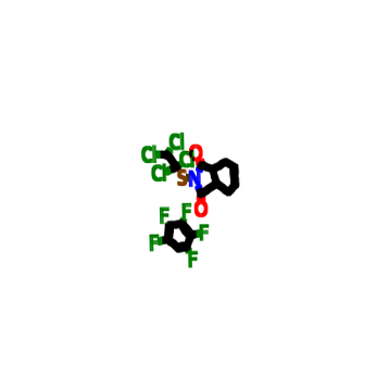 Fc1cc(F)c(F)c(F)c1F.O=C1C2CC=CCC2C(=O)N1SC(Cl)(Cl)C(Cl)Cl